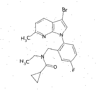 CCN(Cc1cc(F)ccc1-n1cc(Br)c2ccc(C)nc21)C(=O)C1CC1